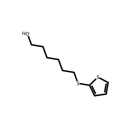 OCCCCCCSc1cccs1